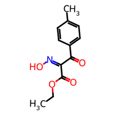 CCOC(=O)C(=NO)C(=O)c1ccc(C)cc1